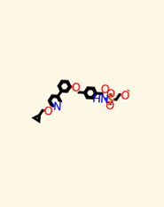 COCCS(=O)(=O)NC(=O)c1ccc(COc2cccc(-c3ccc(OCC4CC4)nc3)c2)cc1